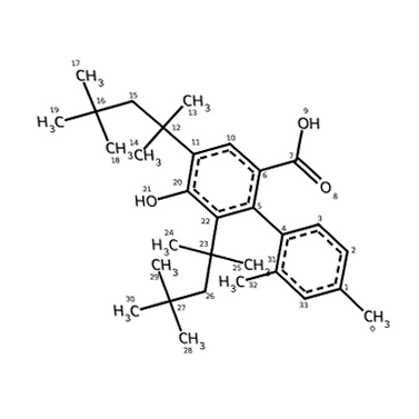 Cc1ccc(-c2c(C(=O)O)cc(C(C)(C)CC(C)(C)C)c(O)c2C(C)(C)CC(C)(C)C)c(C)c1